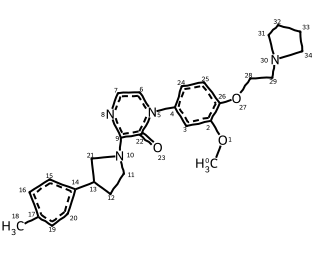 COc1cc(-n2ccnc(N3CCC(c4ccc(C)cc4)C3)c2=O)ccc1OCCN1CCCC1